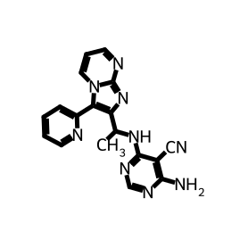 CC(Nc1ncnc(N)c1C#N)c1nc2ncccn2c1-c1ccccn1